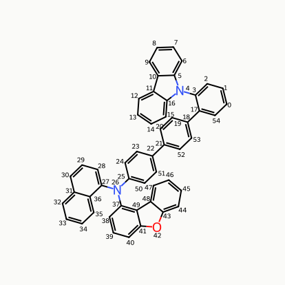 c1ccc(-n2c3ccccc3c3ccccc32)c(-c2ccc(-c3ccc(N(c4cccc5ccccc45)c4cccc5oc6ccccc6c45)cc3)cc2)c1